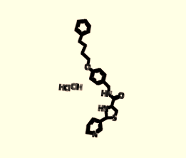 Cl.Cl.O=C(NCc1ccc(OCCCCc2ccccc2)cc1)C1CSC(c2cccnc2)N1